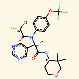 CC1(C)COCC[C@H]1NC(=O)[C@@](C)(c1cncnc1)N(C(=O)[C@H](F)Cl)c1ccc(OC(F)(F)F)cc1